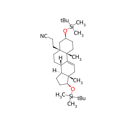 CC(C)(C)[Si](C)(C)O[C@H]1CC[C@]2(C)C3=CC[C@]4(C)[C@@H](O[Si](C)(C)C(C)(C)C)CC[C@H]4[C@@H]3CC[C@]2(CCC#N)C1